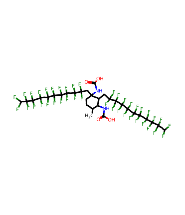 CC1CCC(CC(F)(F)C(F)(F)C(F)(F)C(F)(F)C(F)(F)C(F)(F)C(F)(F)C(F)(F)C(F)(F)C(F)F)(NC(=O)O)C(CC(F)(F)C(F)(F)C(F)(F)C(F)(F)C(F)(F)C(F)(F)C(F)(F)C(F)(F)C(F)(F)C(F)F)C1NC(=O)O